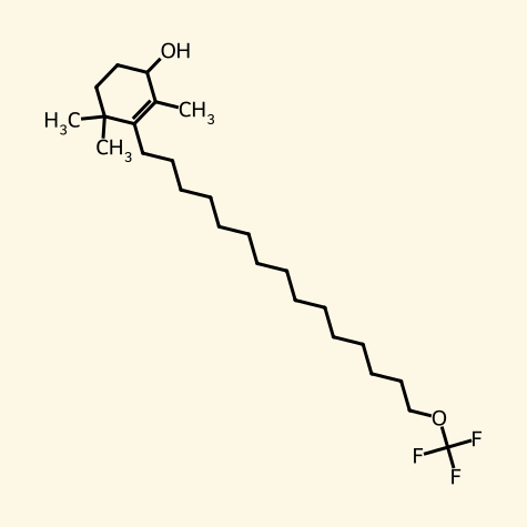 CC1=C(CCCCCCCCCCCCCCCOC(F)(F)F)C(C)(C)CCC1O